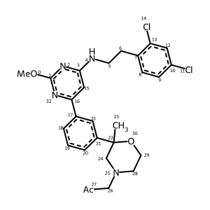 COc1nc(NCCc2ccc(Cl)cc2Cl)cc(-c2cccc(C3(C)CN(CC(C)=O)CCO3)c2)n1